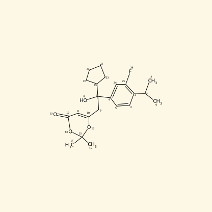 CC(C)c1ccc(C(O)(CC2=CC(=O)OC(C)(C)O2)C2CCCC2)cc1F